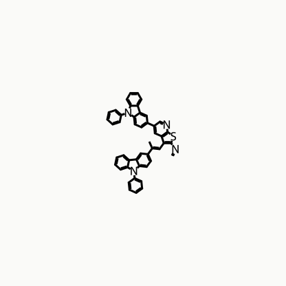 C=Nc1sc2ncc(-c3ccc4c(c3)c3ccccc3n4-c3ccccc3)cc2c1/C=C(\C)c1ccc2c(c1)c1ccccc1n2-c1ccccc1